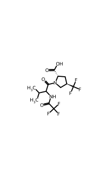 CC(C)C(NC(=O)C(F)(F)F)C(=O)N1C[C@H](C(F)(F)F)C[C@H]1C(=O)O